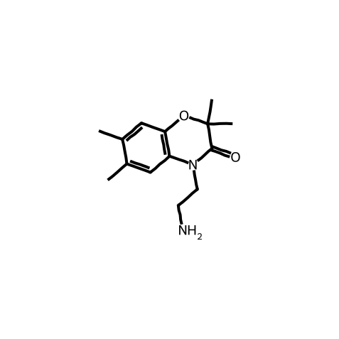 Cc1cc2c(cc1C)N(CCN)C(=O)C(C)(C)O2